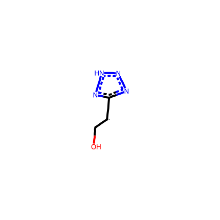 OC[CH]c1nn[nH]n1